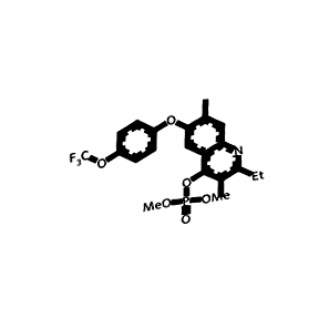 CCc1nc2cc(C)c(Oc3ccc(OC(F)(F)F)cc3)cc2c(OP(=O)(OC)OC)c1C